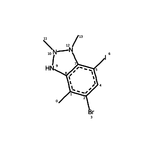 Cc1c(Br)cc(I)c2c1NN(C)N2C